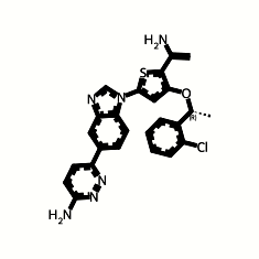 C=C(N)c1sc(-n2cnc3cc(-c4ccc(N)nn4)ccc32)cc1O[C@H](C)c1ccccc1Cl